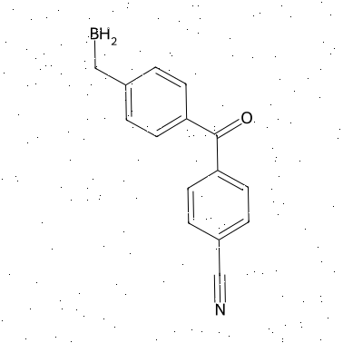 BCc1ccc(C(=O)c2ccc(C#N)cc2)cc1